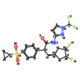 O=C(Nc1ccn(C(F)F)n1)C(C[C@H]1C[C@@H](F)[C@@H](F)C1)c1ccc(S(=O)(=O)C2CC2)cc1